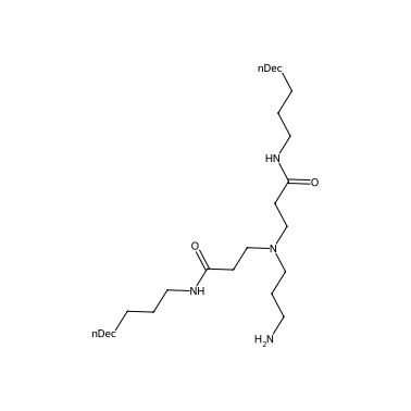 CCCCCCCCCCCCCNC(=O)CCN(CCCN)CCC(=O)NCCCCCCCCCCCCC